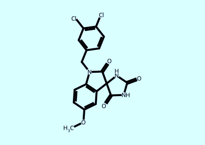 COc1ccc2c(c1)C1(NC(=O)NC1=O)C(=O)N2Cc1ccc(Cl)c(Cl)c1